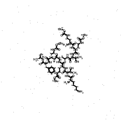 CC(C)C(C)NC(=O)[C@@H](Cc1ccccc1)NC(=O)[C@H](CCNC(=O)OC(C)(C)C)NC(=O)[C@H](CCNC(=O)[C@@H](NC(=O)[C@H](CCNC(=O)OC(C)(C)C)NC(=O)[C@@H](N)CCNC(=O)OC(C)(C)C)[C@@H](C)O)NC(=O)[C@H](CCNC(=O)OC(C)(C)C)NC(=O)[C@@H](NC(=O)[C@@H](N)CCCCN)[C@@H](C)O